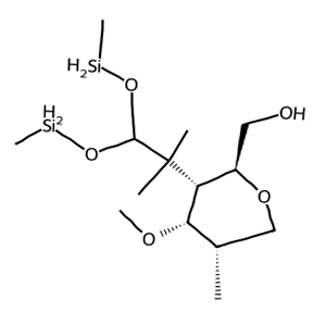 CO[C@@H]1[C@H](C(C)(C)C(O[SiH2]C)O[SiH2]C)[C@@H](CO)OC[C@@H]1C